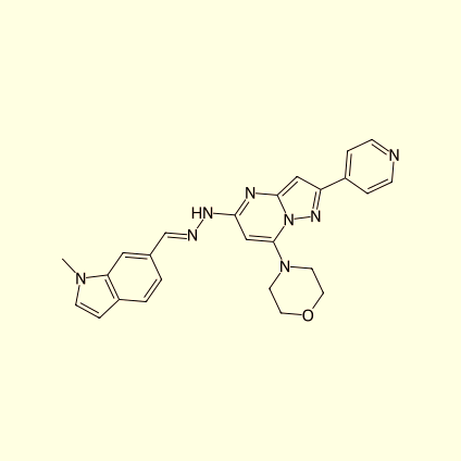 Cn1ccc2ccc(/C=N/Nc3cc(N4CCOCC4)n4nc(-c5ccncc5)cc4n3)cc21